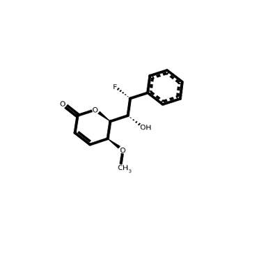 CO[C@H]1C=CC(=O)O[C@H]1[C@@H](O)[C@H](F)c1ccccc1